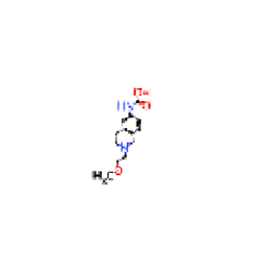 COCCN1CCc2cc(NC(=O)O)ccc2C1